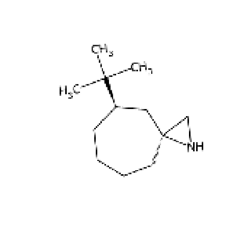 CC(C)(C)[C@@H]1CCCC[C@@]2(CN2)C1